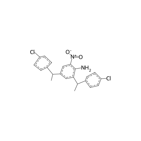 CC(c1ccc(Cl)cc1)c1cc(C(C)c2ccc(Cl)cc2)c(N)c([N+](=O)[O-])c1